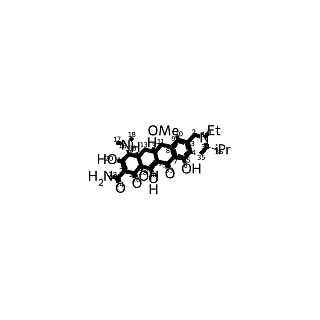 CCN(Cc1cc(O)c2c(c1OC)C[C@H]1C[C@H]3[C@H](N(C)C)C(O)=C(C(N)=O)C(=O)[C@@]3(O)C(O)=C1C2=O)[C@@H](C)C(C)C